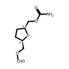 NC(=O)OC[C@@H]1CC[C@H](COC=O)O1